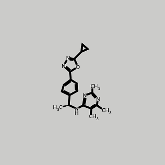 Cc1nc(C)c(C)c(N[C@@H](C)c2ccc(-c3nnc(C4CC4)o3)cc2)n1